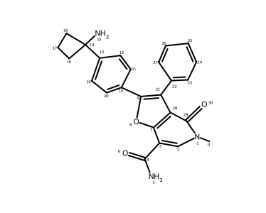 Cn1cc(C(N)=O)c2oc(-c3ccc(C4(N)CCC4)cc3)c(-c3ccccc3)c2c1=O